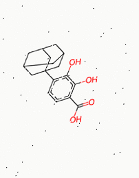 O=C(O)c1ccc(C23CC4CC(CC(C4)C2)C3)c(O)c1O